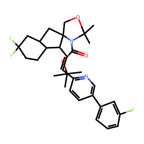 CC(C)(C)OC(=O)N1C(C)(C)OCC12CC1CC(F)(F)CCC1C2/C=C/c1ccc(-c2cccc(F)c2)cn1